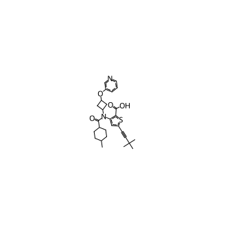 CC1CCC(C(=O)N(c2cc(C#CC(C)(C)C)sc2C(=O)O)C2CC(Oc3cccnc3)C2)CC1